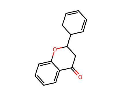 O=C1CC(C2C=CC=CC2)Oc2ccccc21